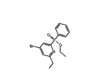 CCOP(=O)(c1ccccc1)c1cc(Br)cc(CC)n1